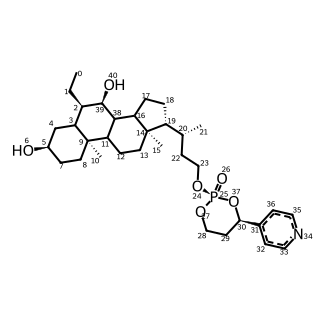 CC[C@@H]1C2C[C@H](O)CC[C@]2(C)C2CC[C@@]3(C)C(CC[C@@H]3[C@H](C)CCO[P@]3(=O)OCC[C@H](c4ccncc4)O3)C2[C@@H]1O